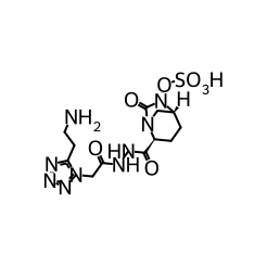 NCCc1nnnn1CC(=O)NNC(=O)[C@@H]1CC[C@@H]2CN1C(=O)N2OS(=O)(=O)O